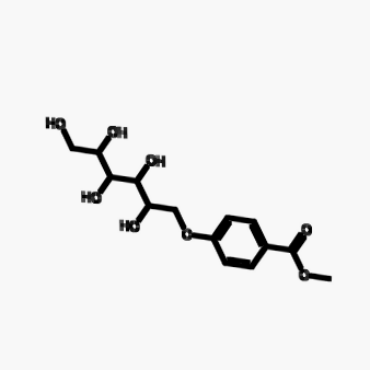 COC(=O)c1ccc(OCC(O)C(O)C(O)C(O)CO)cc1